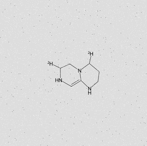 [2H]C1CN2C(=CN1)NCCC2[2H]